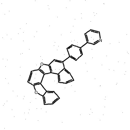 c1cncc(-c2ccc(-c3cc4oc5ccc6oc7ccccc7c6c5c4c4ccccc34)cc2)c1